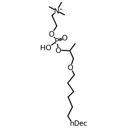 CCCCCCCCCCCCCCCCOCC(C)OP(=O)(O)OCC[N+](C)(C)C